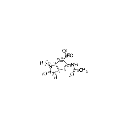 CC(=O)Nc1cc2[nH]c(=O)n(C)c2cc1[N+](=O)[O-]